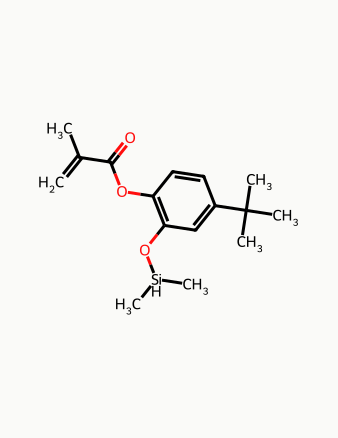 C=C(C)C(=O)Oc1ccc(C(C)(C)C)cc1O[SiH](C)C